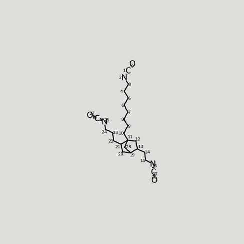 O=C=NCCCCCCCCC12CC(CCN=C=O)C(CC1CCCN=C=O)C2